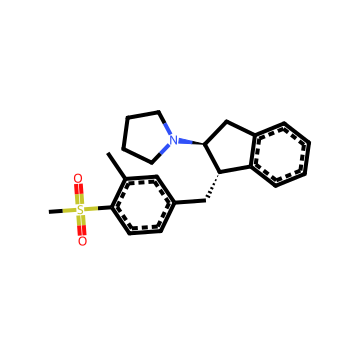 Cc1cc(C[C@H]2c3ccccc3C[C@@H]2N2CCCC2)ccc1S(C)(=O)=O